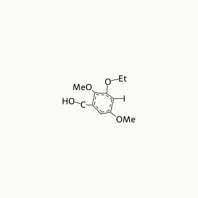 CCOc1c(I)c(OC)cc(CO)c1OC